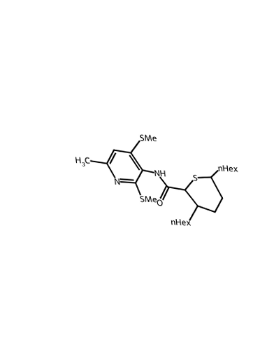 CCCCCCC1CCC(CCCCCC)C(C(=O)Nc2c(SC)cc(C)nc2SC)S1